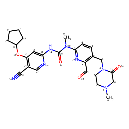 CN1CCN(Cc2ccc(N(C)C(=O)Nc3cc(OC4CCCC4)c(C#N)cn3)nc2C=O)C(=O)C1